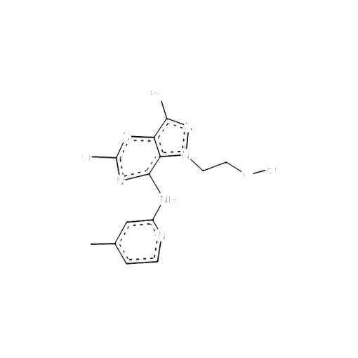 CCOCCn1nc(Br)c2nc(Cl)nc(Nc3cc(C)ccn3)c21